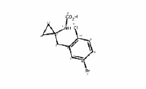 O=C(O)NC1(Cc2cc(Br)ccc2Cl)CC1